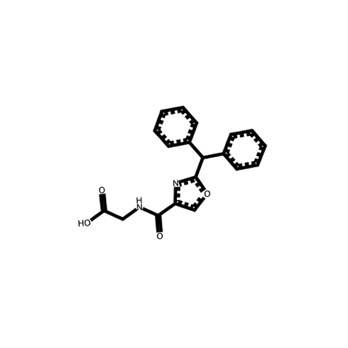 O=C(O)CNC(=O)c1coc(C(c2ccccc2)c2ccccc2)n1